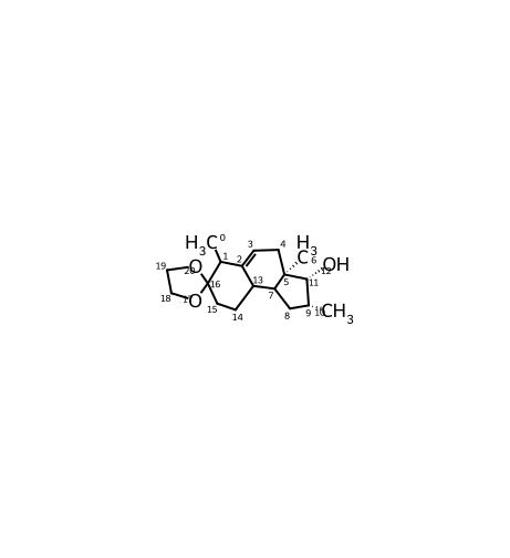 CC1C2=CC[C@]3(C)C(C[C@@H](C)[C@H]3O)C2CCC12OCCO2